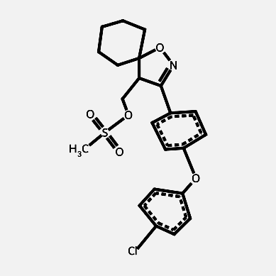 CS(=O)(=O)OCC1C(c2ccc(Oc3ccc(Cl)cc3)cc2)=NOC12CCCCC2